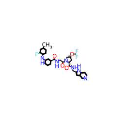 Cc1ccc(Nc2cccc(C(=O)NCC(=O)N3C[C@H](OC(F)F)C[C@H]3C(=O)NCc3cc4cnccc4[nH]3)c2)c(F)c1